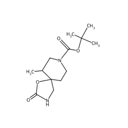 CC1CN(C(=O)OC(C)(C)C)CCC12CNC(=O)O2